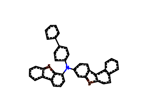 c1ccc(-c2ccc(N(c3ccc4c(c3)sc3ccc5ccccc5c34)c3cccc4c3sc3ccccc34)cc2)cc1